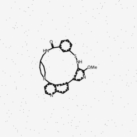 COc1ncc2cc1NSc1cccc(c1)C(=O)NCC1CCN(CC1)c1ccnc3ccc-2cc13